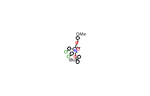 C=CC[C@]1(CCOCc2ccc(OC)cc2)C[C@H](c2cccc(Cl)c2)[C@@H](c2ccc(Cl)cc2)N([C@@H](C)CCO[Si](c2ccccc2)(c2ccccc2)C(C)(C)C)C1=O